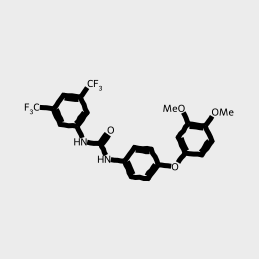 COc1ccc(Oc2ccc(NC(=O)Nc3cc(C(F)(F)F)cc(C(F)(F)F)c3)cc2)cc1OC